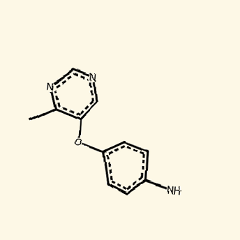 Cc1ncncc1Oc1ccc([NH])cc1